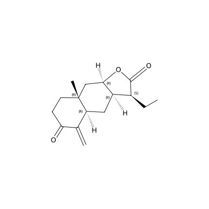 C=C1C(=O)CC[C@]2(C)C[C@H]3OC(=O)[C@@H](CC)[C@H]3C[C@@H]12